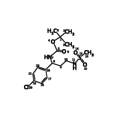 CC(C)(C)OC(=O)NC(CCNS(C)(=O)=O)c1ccc(Cl)cc1